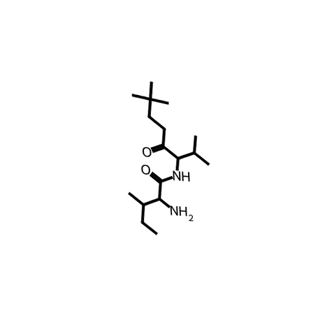 CCC(C)C(N)C(=O)NC(C(=O)CCC(C)(C)C)C(C)C